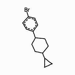 Brc1ccc(C2CCC(C3CC3)CC2)cc1